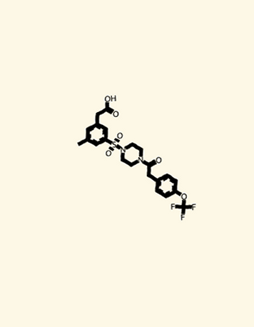 Cc1cc(CC(=O)O)cc(S(=O)(=O)N2CCN(C(=O)Cc3ccc(OC(F)(F)F)cc3)CC2)c1